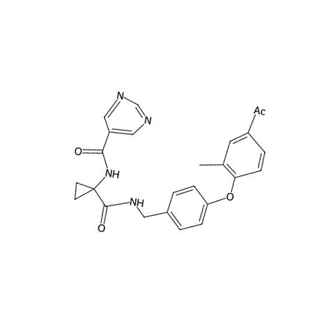 CC(=O)c1ccc(Oc2ccc(CNC(=O)C3(NC(=O)c4cncnc4)CC3)cc2)c(C)c1